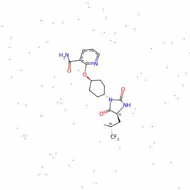 C[C@H](C[C@@H]1NC(=O)N([C@H]2CC[C@H](Oc3ncccc3C(N)=O)CC2)C1=O)C(F)(F)F